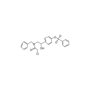 O=C(CCl)N(Cc1ccccc1)CC(O)c1ccc(OS(=O)(=O)c2ccccc2)cc1